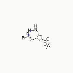 CC(C)(C)OC(=O)N1CC2CN/C=N/N=C(/Br)SCC2C1